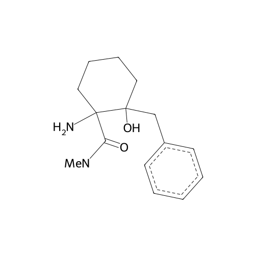 CNC(=O)C1(N)CCCCC1(O)Cc1ccccc1